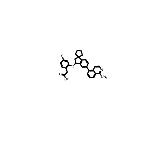 Nc1nccc2c(-c3ccc4c(c3)C(Oc3cc(F)ccc3CC(=O)O)CC43CCCC3)cccc12